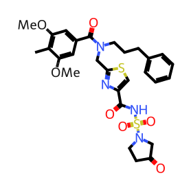 COc1cc(C(=O)N(CCCc2ccccc2)Cc2nc(C(=O)NS(=O)(=O)N3CCC(=O)C3)cs2)cc(OC)c1C